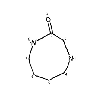 O=C1C[N]CCCC[N]1